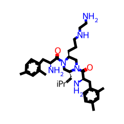 Cc1ccc(C[C@@H](N)C(=O)N2C[C@H](CCCNCCN)N(C(=O)[C@H](N)Cc3ccc(C)cc3C)C[C@H]2CC(C)C)c(C)c1